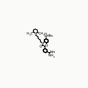 CCCCNc1ccc2c(c1)N(CCCCCN1[C@H](C)CCC[C@@H]1C)C(=O)C(c1cccc(C(=N)N)c1)O2